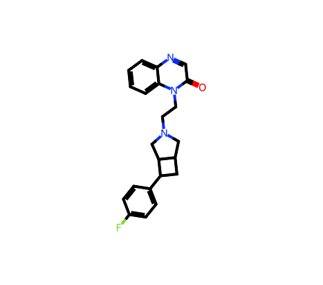 O=c1cnc2ccccc2n1CCN1CC2CC(c3ccc(F)cc3)C2C1